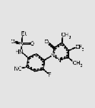 CCS(=O)(=O)Nc1cc(-n2nc(C)c(C(F)(F)F)c(C)c2=O)c(F)cc1C#N